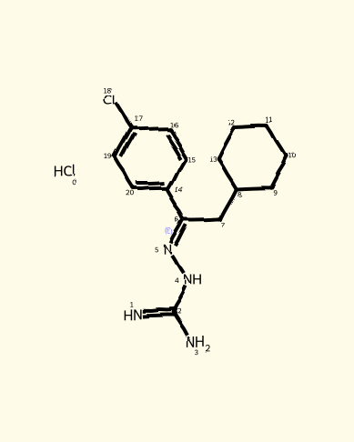 Cl.N=C(N)N/N=C(\CC1CCCCC1)c1ccc(Cl)cc1